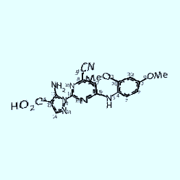 COc1ccc(Nc2cc(C#N)nc(-n3ncc(C(=O)O)c3N)n2)c(OC)c1